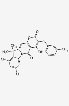 Cc1cccc(Sc2c(O)c3c(=O)n4c(cc3oc2=O)C(C)(C)c2c(Cl)cc(Cl)cc2-4)c1